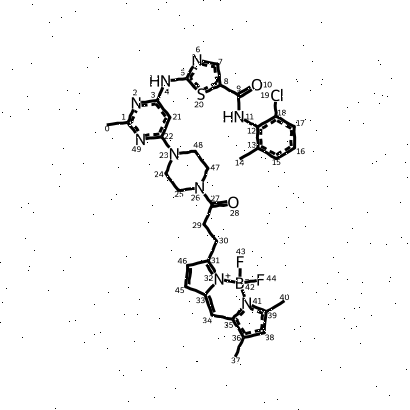 Cc1nc(Nc2ncc(C(=O)Nc3c(C)cccc3Cl)s2)cc(N2CCN(C(=O)CCC3=[N+]4C(=Cc5c(C)cc(C)n5[B-]4(F)F)C=C3)CC2)n1